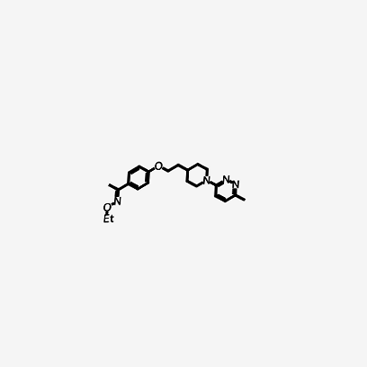 CCON=C(C)c1ccc(OCCC2CCN(c3ccc(C)nn3)CC2)cc1